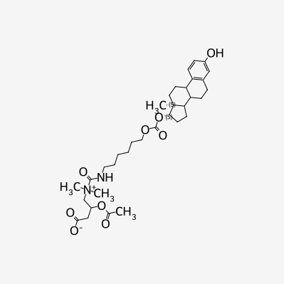 CC(=O)OC(CC(=O)[O-])C[N+](C)(C)C(=O)NCCCCCCOC(=O)O[C@H]1CCC2C3CCc4cc(O)ccc4C3CC[C@@]21C